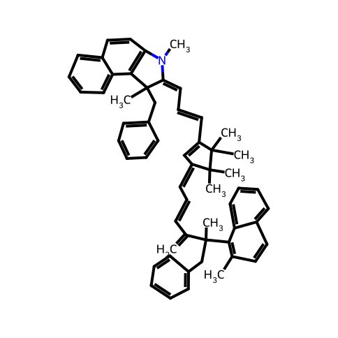 C=C(/C=C/C=C1C=C(/C=C/C=C2/N(C)c3ccc4ccccc4c3C2(C)Cc2ccccc2)C(C)(C)C/1(C)C)C(C)(Cc1ccccc1)c1c(C)ccc2ccccc12